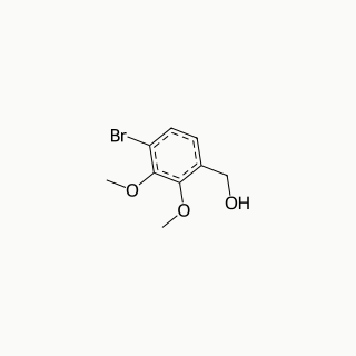 COc1c(Br)ccc(CO)c1OC